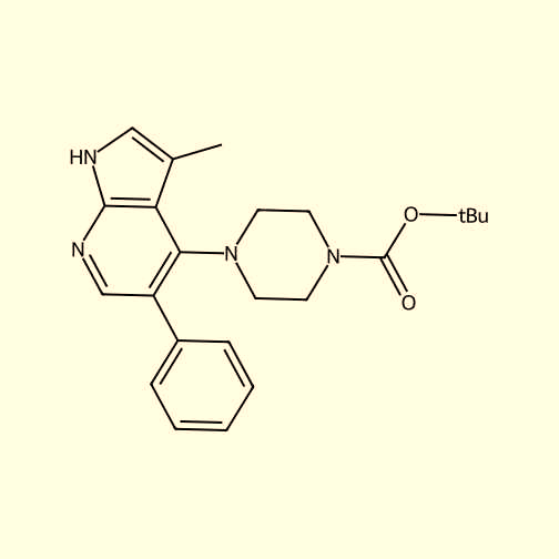 Cc1c[nH]c2ncc(-c3ccccc3)c(N3CCN(C(=O)OC(C)(C)C)CC3)c12